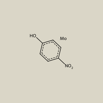 O=[N+]([O-])c1ccc(O)cc1.[Mo]